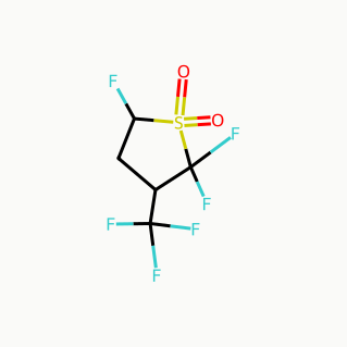 O=S1(=O)C(F)CC(C(F)(F)F)C1(F)F